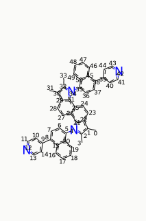 Cc1c(C)n(-c2ccc(-c3ccncc3)c3ccccc23)c2c1ccc1c2ccc2c(C)c(C)n(-c3ccc(-c4ccncc4)c4ccccc34)c21